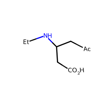 CCNC(CC(C)=O)CC(=O)O